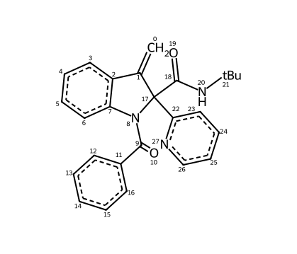 C=C1c2ccccc2N(C(=O)c2ccccc2)C1(C(=O)NC(C)(C)C)c1ccccn1